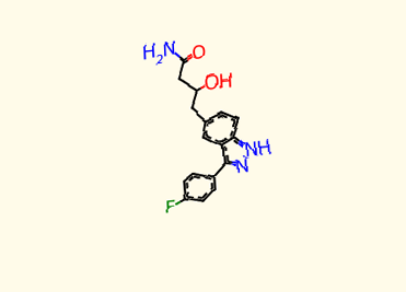 NC(=O)CC(O)Cc1ccc2[nH]nc(-c3ccc(F)cc3)c2c1